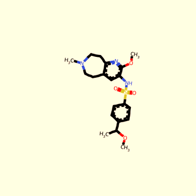 COc1nc2c(cc1NS(=O)(=O)c1ccc(C(C)OC)cc1)CCN(C)CC2